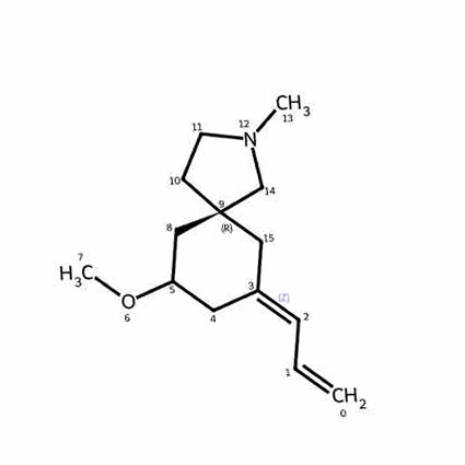 C=C/C=C1\CC(OC)C[C@]2(CCN(C)C2)C1